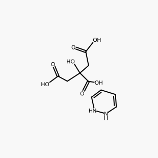 C1=CNNC=C1.O=C(O)CC(O)(CC(=O)O)C(=O)O